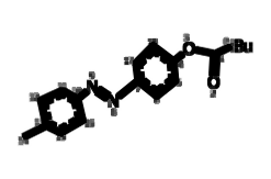 CCC(C)C(=O)Oc1ccc(N=Nc2ccc(C)cc2)cc1